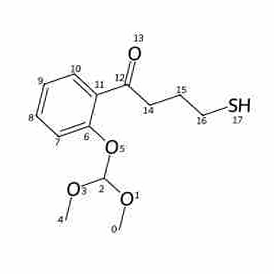 COC(OC)Oc1ccccc1C(=O)CCCS